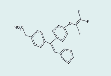 O=C(O)Cc1ccc(C(=Cc2ccccc2)c2ccc(OC(F)=C(F)F)cc2)cc1